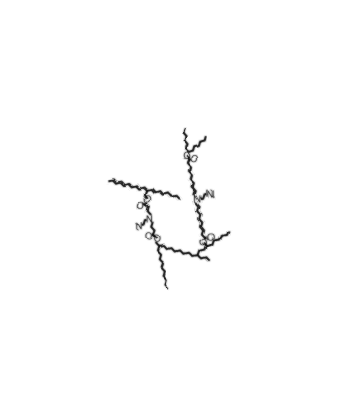 CCCCCCCCCCC(CCCCCCCC)COC(=O)CCCN(CCCC(=O)OCC(CCCCCCCCCC)CCCCCCCCC(CCC)CCC(CCCCCC)OC(=O)CCCCCCCCCN(CCCCCCCCCC(=O)OC(CCCCCC)CCCCCC)CCN(C)C)CCN(C)C